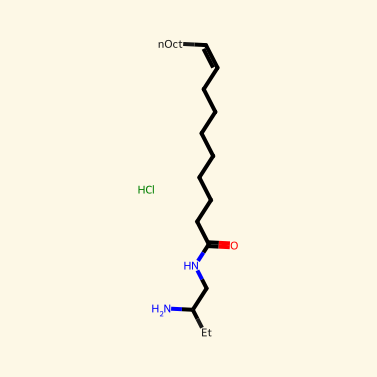 CCCCCCCC/C=C\CCCCCCCC(=O)NCC(N)CC.Cl